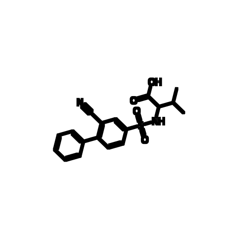 CC(C)C(NS(=O)(=O)c1ccc(-c2ccccc2)c(C#N)c1)C(=O)O